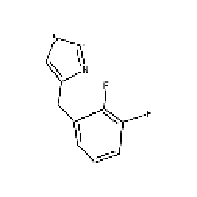 Fc1cccc(Cc2cs[c]n2)c1F